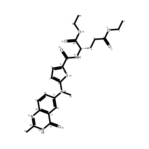 CCOC(=O)CC[C@H](NC(=O)c1ccc(N(C)c2ccc3nc(C)[nH]c(=O)c3c2)s1)C(=O)OCC